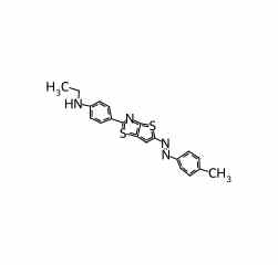 CCNc1ccc(-c2nc3sc(N=Nc4ccc(C)cc4)cc3s2)cc1